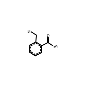 CCCC(=O)c1ccccc1CBr